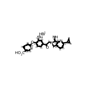 Br.CC(C)(C)c1cc(C(=O)CN2Cc3ccc(C4CC4)nc3C2=N)ccc1Oc1ccc(C(=O)O)cn1